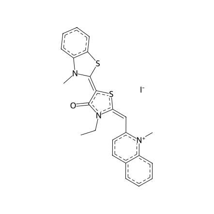 CCn1c(=O)/c(=C2/Sc3ccccc3N2C)s/c1=C/c1ccc2ccccc2[n+]1C.[I-]